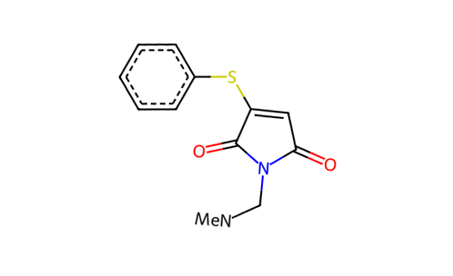 CNCN1C(=O)C=C(Sc2ccccc2)C1=O